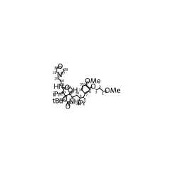 COCCCOc1cc(CC(CC(NC(=O)OC(C)(C)C)C(O)CC(C(=O)NCCN2CCOCC2)C(C)C)C(C)C)ccc1OC